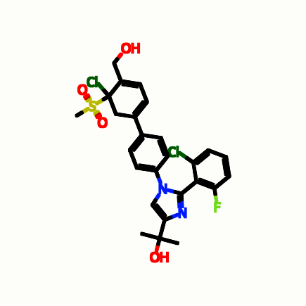 CC(C)(O)c1cn(-c2ccc(C3=CC=C(CO)C(Cl)(S(C)(=O)=O)C3)cc2)c(-c2c(F)cccc2Cl)n1